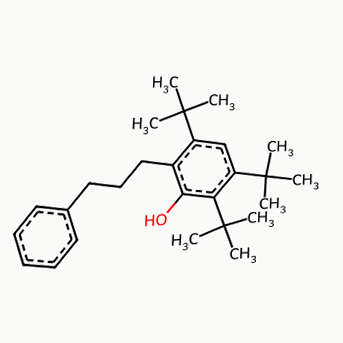 CC(C)(C)c1cc(C(C)(C)C)c(C(C)(C)C)c(O)c1CCCc1ccccc1